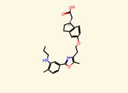 CCCNc1cc(-c2nc(CCOc3ccc4c(c3)CC[C@H]4CC(=O)O)c(C)o2)ccc1C